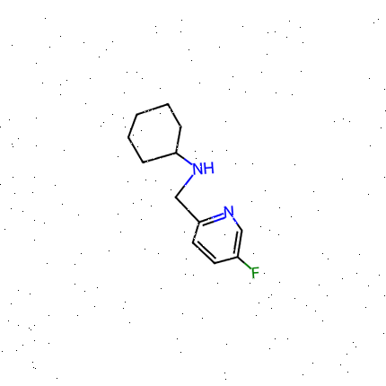 Fc1ccc(CNC2CCCCC2)nc1